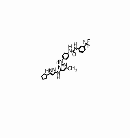 Cc1cc(Nc2cc(C3CCCC3)[nH]n2)nc(Nc2ccc(NC(=O)Nc3cccc(C(F)(F)F)c3)cc2)n1